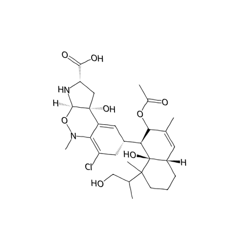 CC(=O)OC1C(C)=C[C@@H]2CCCC(C)(C(C)CO)[C@]2(O)[C@H]1[C@H]1C=C2C(=C(Cl)C1)N(C)O[C@H]1N[C@H](C(=O)O)C[C@@]21O